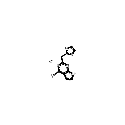 Cl.Nc1nc(Cc2nccs2)nc2[nH]ccc12